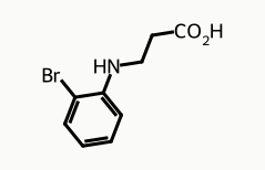 O=C(O)CCNc1ccccc1Br